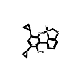 COc1c(C2CC2)cc(C2CC2)c(OC)c1-c1cccc2c1P(C)(=O)CO2